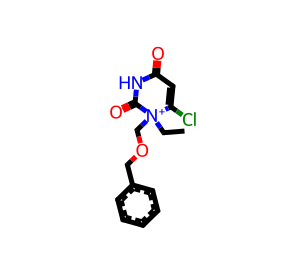 CC[N+]1(COCc2ccccc2)C(=O)NC(=O)C=C1Cl